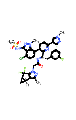 Cn1cc(-c2ccc(-c3ccc(Cl)c4c(NS(C)(=O)=O)nn(C)c34)c([C@H](Cc3cc(F)cc(F)c3)NC(=O)Cn3nc(C(F)(F)F)c4c3C(F)(F)C3C[C@H]43)n2)cn1